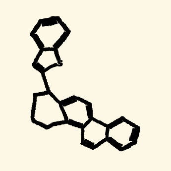 c1ccc2sc(C3CCCc4c3ccc3c4ccc4ccccc43)cc2c1